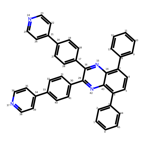 c1ccc(-c2ccc(-c3ccccc3)c3nc(-c4ccc(-c5ccncc5)cc4)c(-c4ccc(-c5ccncc5)cc4)nc23)cc1